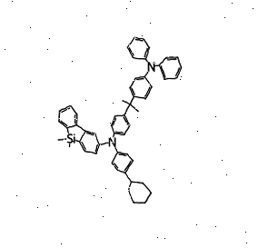 CC(C)(c1ccc(N(c2ccccc2)c2ccccc2)cc1)c1ccc(N(c2ccc(C3CCCCC3)cc2)c2ccc3c(c2)-c2ccccc2[Si]3(C)C)cc1